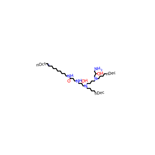 CCCCCCCC/C=C/CCCCCCCCNC(=O)CCNCC(O)CN(CCCCCCCCCCCCCC)CCCCN(CCCCCCCCCCCCCC)CC(O)CN